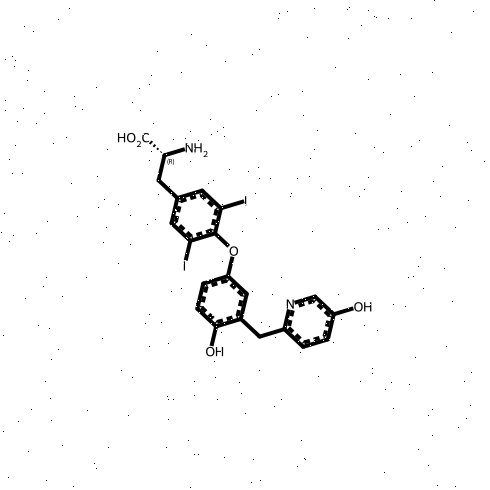 N[C@H](Cc1cc(I)c(Oc2ccc(O)c(Cc3ccc(O)cn3)c2)c(I)c1)C(=O)O